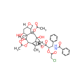 CC(=O)O[C@H]1C(=O)[C@@]2(C)[C@H](C[C@]3(O)C[C@H](OC(=O)[C@H](OC(=O)CCl)[C@@H](NC(=O)c4ccccc4)c4ccccc4)C(C)=C1C3(C)C)[C@]1(OC(C)=O)CO[C@@H]1C[C@@H]2O